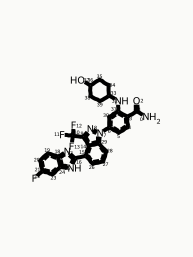 NC(=O)c1ccc(-n2nc(C(F)(F)F)c3c(-c4nc5ccc(F)cc5[nH]4)cccc32)cc1NC1CCC(O)CC1